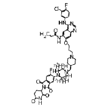 [2H]C1([2H])N(CC2CCN(CCCOc3cc4ncnc(Nc5ccc(F)c(Cl)c5)c4cc3NC(=O)C=C)CC2)C([2H])([2H])C([2H])([2H])N(c2cc3c(cc2F)C(=O)N(C2CCC(=O)NC2=O)C3=O)C1([2H])[2H]